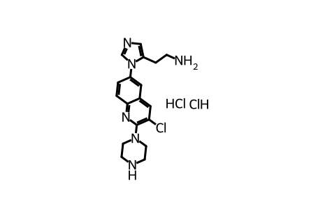 Cl.Cl.NCCc1cncn1-c1ccc2nc(N3CCNCC3)c(Cl)cc2c1